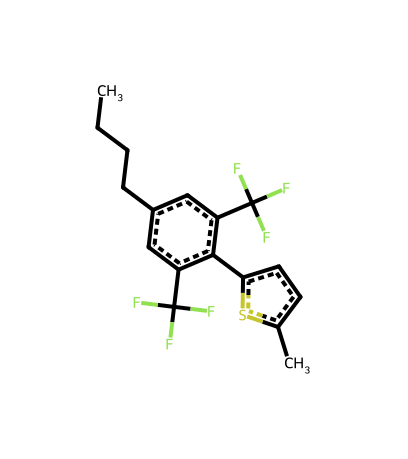 CCCCc1cc(C(F)(F)F)c(-c2ccc(C)s2)c(C(F)(F)F)c1